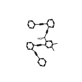 Cc1cc(C#Cc2ccccc2C#Cc2ccccc2)c(C(O)C#Cc2ccccc2C#Cc2ccccc2)cc1C